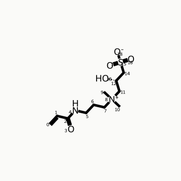 C=CC(=O)NCCC[N+](C)(C)C[C@H](O)CS(=O)(=O)[O-]